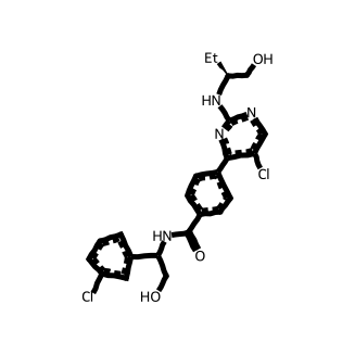 CC[C@@H](CO)Nc1ncc(Cl)c(-c2ccc(C(=O)NC(CO)c3cccc(Cl)c3)cc2)n1